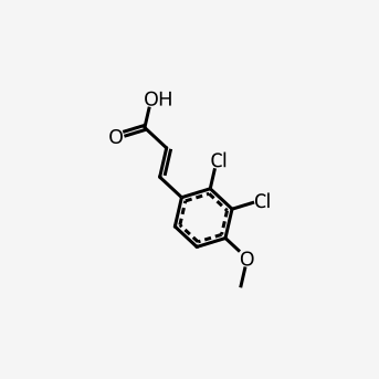 COc1ccc(C=CC(=O)O)c(Cl)c1Cl